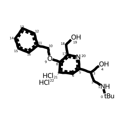 CC(C)(C)NCC(O)c1ccc(OCc2ccccc2)c(CO)n1.Cl.Cl